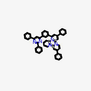 C1=CB2N(C=C1)B1C=C(c3ccccc3)C=CN1B1C=C(c3ccccc3)C=C(c3cccc(-c4cc(-c5ccccc5)nc(-c5ccccc5)n4)c3)N21